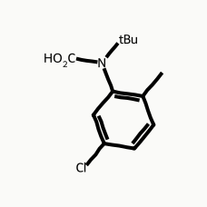 Cc1ccc(Cl)cc1N(C(=O)O)C(C)(C)C